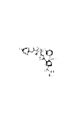 CCNC(=O)c1cccc(-c2nnc(NS(=O)(=O)C(C)Cc3ncc(F)cn3)n2-c2c(OC)cccc2OC)n1